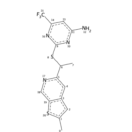 Cc1cc2cc(C(C)Sc3nc(N)cc(C(F)(F)F)n3)ncc2s1